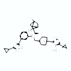 CC1(c2nc(C34CCC(CN(C(=O)[C@@H]5CC6(F)CC5C6)c5cccc(-c6nnc(C7CC7)o6)c5)(CC3)CC4)no2)CC1